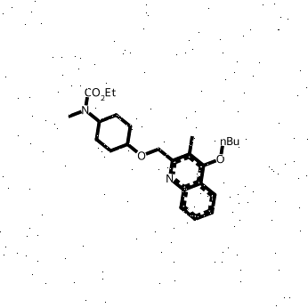 CCCCOc1c(C)c(COC2CCC(N(C)C(=O)OCC)CC2)nc2ccccc12